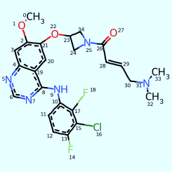 COc1cc2ncnc(Nc3ccc(F)c(Cl)c3F)c2cc1OC1CN(C(=O)/C=C/CN(C)C)C1